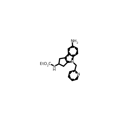 CCOC(=O)NC1Cc2c(n(Cc3ccccn3)c3ccc(N)cc23)C1